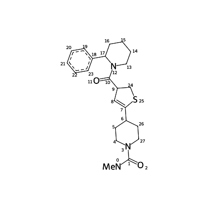 CNC(=O)N1CCC(C2=CC(C(=O)N3CCCCC3c3ccccc3)CS2)CC1